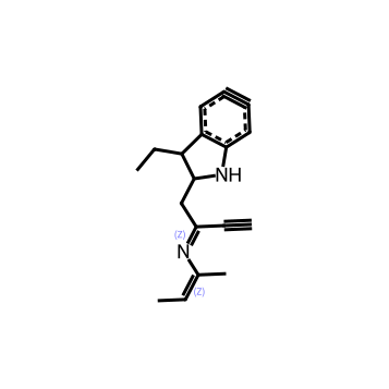 C#C/C(CC1Nc2cc#ccc2C1CC)=N\C(C)=C/C